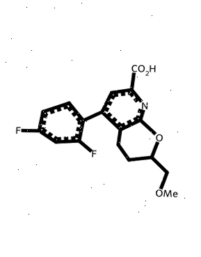 COCC1CCc2c(-c3ccc(F)cc3F)cc(C(=O)O)nc2O1